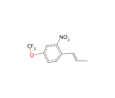 CC=Cc1ccc(OC(F)(F)F)cc1[N+](=O)[O-]